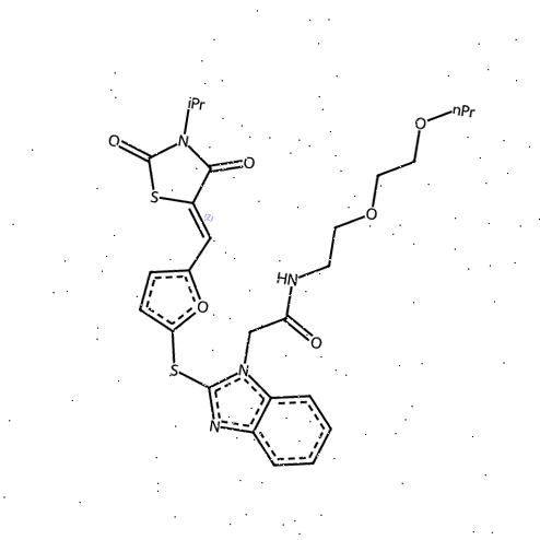 CCCOCCOCCNC(=O)Cn1c(Sc2ccc(/C=C3\SC(=O)N(C(C)C)C3=O)o2)nc2ccccc21